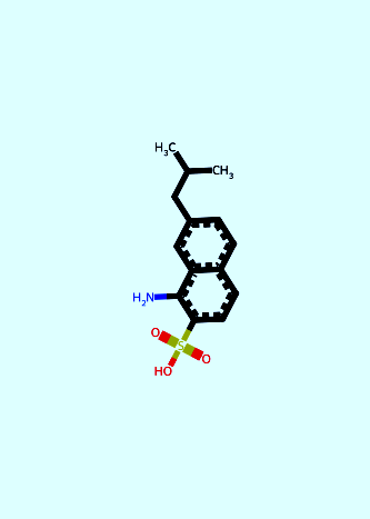 CC(C)Cc1ccc2ccc(S(=O)(=O)O)c(N)c2c1